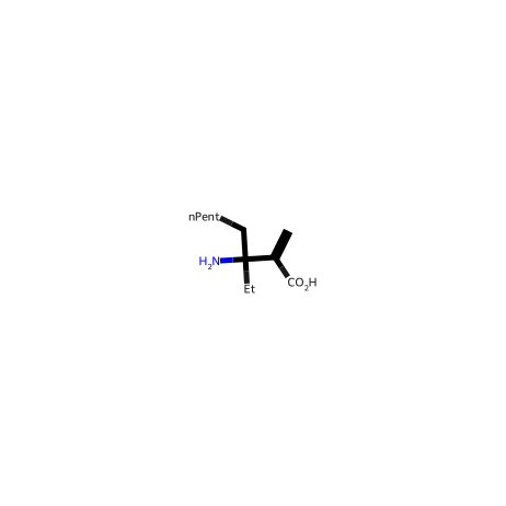 C=C(C(=O)O)C(N)(CC)CCCCCC